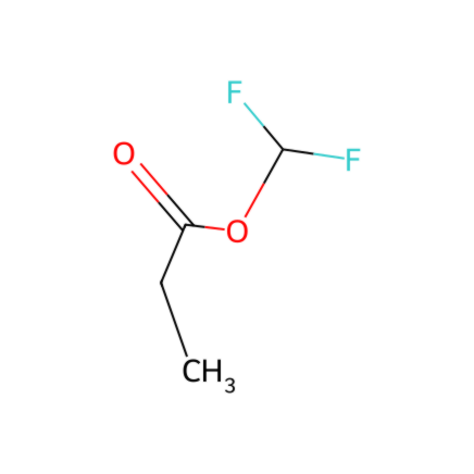 CCC(=O)OC(F)F